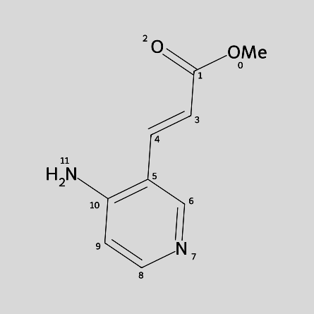 COC(=O)/C=C/c1cnccc1N